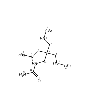 CCCCNCC(CNCCCC)(CNCCCC)CNC(N)=O